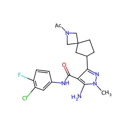 CC(=O)N1CC2(CCC(c3nn(C)c(N)c3C(=O)Nc3ccc(F)c(Cl)c3)C2)C1